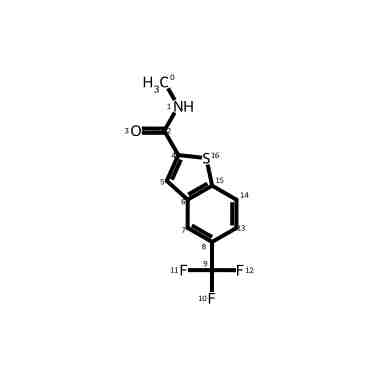 CNC(=O)c1cc2cc(C(F)(F)F)ccc2s1